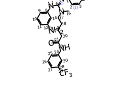 C=C(/C=C\CC)/N=C(/Nc1cccc(N)c1)N(C)CCCCC(=O)Nc1cccc(C(F)(F)F)c1